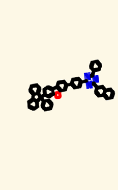 c1ccc(-c2nc(-c3ccc(-c4ccc5c(c4)oc4cc(C6(c7ccccc7)c7ccccc7-c7ccccc76)ccc45)cc3)nc(-c3ccc4ccccc4c3)n2)cc1